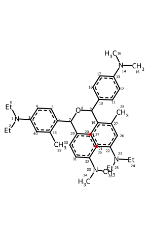 CCN(CC)c1ccc(C(OC(c2ccc(N(C)C)cc2)c2ccc(N(CC)CC)cc2C)c2ccc(N(C)C)cc2)c(C)c1